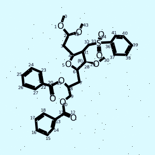 COC(CC1OC(CC(COC(=O)c2ccccc2)OC(=O)c2ccccc2)[C@H](OC)C1CS(=O)(=O)c1ccccc1)OC